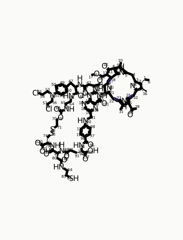 CC[C@H]1C2Cc3[nH]c4c(c3C)C(=O)C(C(=O)OC)/C4=C3N=C(/C=c4\[nH]/c(c(C(C)=O)c4C)=C\C(=N2)[C@@H]1C)[C@@H](C)[C@@H]/3CCCC(=O)NC(Cc1ccc(N(CCCl)CCCl)cc1)C(=O)NCCNC(=O)OCCSSC[C@H](NC(=O)[C@H](CC(=O)NCCS)NC(=O)CC[C@H](NC(=O)c1ccc(NCc2cnc3nc(N)[nH]c(=O)c3n2)cc1)C(=O)O)C(=O)O